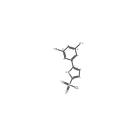 O=S(=O)(Cl)c1ccc(-c2cc(F)cc(F)c2)s1